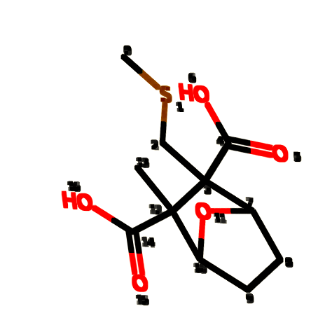 CSCC1(C(=O)O)C2CCC(O2)C1(C)C(=O)O